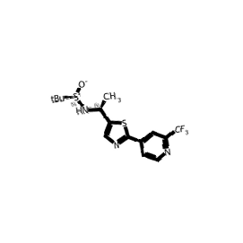 C[C@H](N[S@+]([O-])C(C)(C)C)c1cnc(-c2ccnc(C(F)(F)F)c2)s1